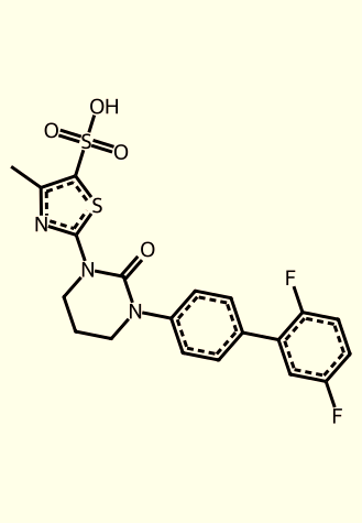 Cc1nc(N2CCCN(c3ccc(-c4cc(F)ccc4F)cc3)C2=O)sc1S(=O)(=O)O